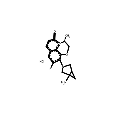 C[C@H]1COc2c(N3CC4CC4(N)C3)c(F)cc3ccc(=O)n1c23.Cl